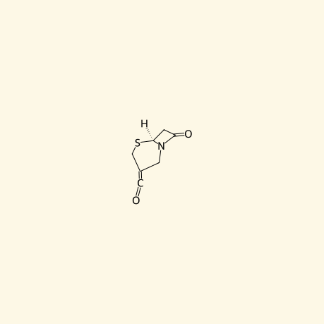 O=C=C1CS[C@H]2CC(=O)N2C1